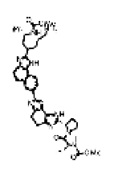 COC(=O)N[C@H](C(=O)N1CCC[C@H]1c1nc2c([nH]1)-c1sc(-c3ccc4c(ccc5nc(C(CCCN)C[C@@H](NC(=O)OC)C(C)C)[nH]c54)c3)nc1CC2)C(C)C